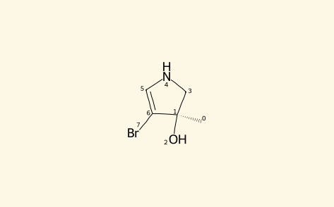 C[C@@]1(O)CNC=C1Br